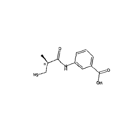 C[C@H](CS)C(=O)Nc1cccc(C(=O)O)c1